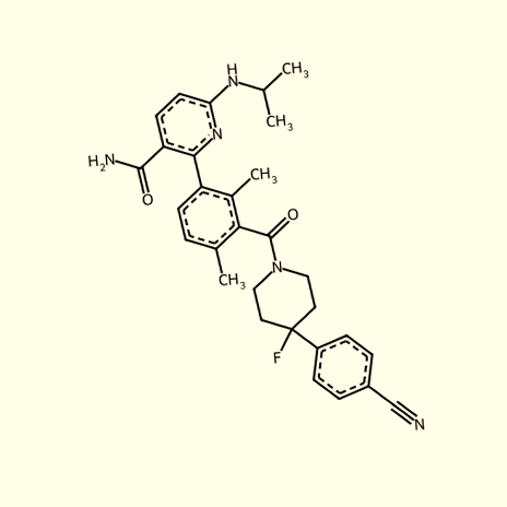 Cc1ccc(-c2nc(NC(C)C)ccc2C(N)=O)c(C)c1C(=O)N1CCC(F)(c2ccc(C#N)cc2)CC1